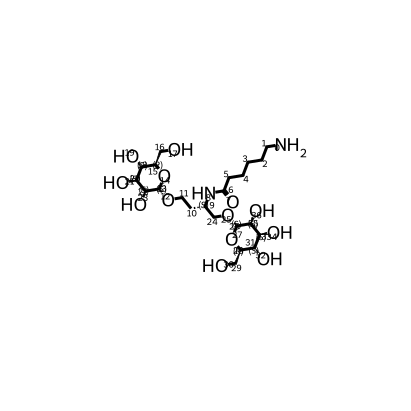 NCCCCCC(=O)N[C@@H](CCO[C@H]1O[C@H](CO)[C@@H](O)[C@H](O)[C@@H]1O)CO[C@H]1O[C@H](CO)[C@@H](O)[C@H](O)[C@@H]1O